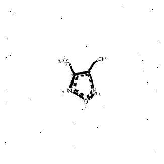 Cc1nonc1Cl